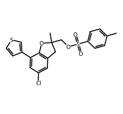 Cc1ccc(S(=O)(=O)OCC2(C)Cc3cc(Cl)cc(-c4ccsc4)c3O2)cc1